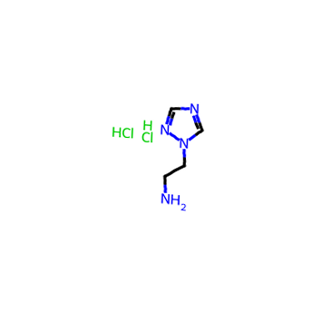 Cl.Cl.NCCn1cncn1